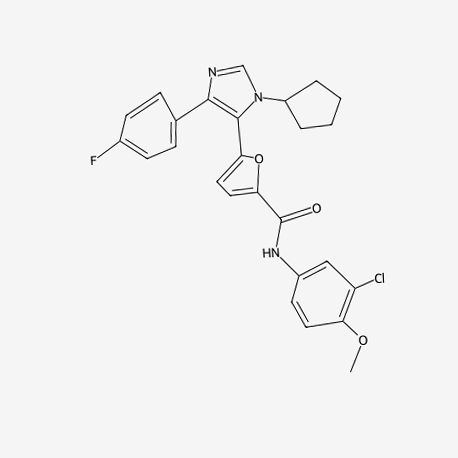 COc1ccc(NC(=O)c2ccc(-c3c(-c4ccc(F)cc4)ncn3C3CCCC3)o2)cc1Cl